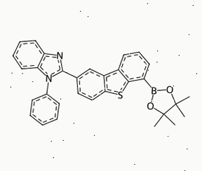 CC1(C)OB(c2cccc3c2sc2ccc(-c4nc5ccccc5n4-c4ccccc4)cc23)OC1(C)C